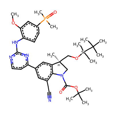 COc1cc(P(C)(C)=O)ccc1Nc1nccc(-c2cc(C#N)c3c(c2)[C@@](C)(CO[Si](C)(C)C(C)(C)C)CN3C(=O)OC(C)(C)C)n1